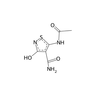 CC(=O)Nc1snc(O)c1C(N)=O